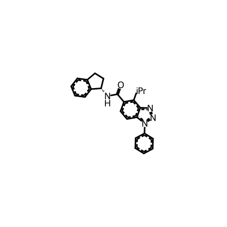 CC(C)c1c(C(=O)N[C@H]2CCc3ccccc32)ccc2c1nnn2-c1ccccc1